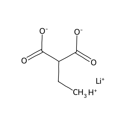 CCC(C(=O)[O-])C(=O)[O-].[H+].[Li+]